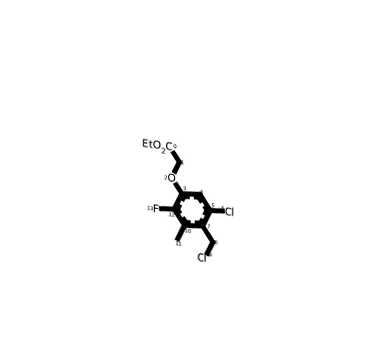 CCOC(=O)COc1cc(Cl)c(CCl)c(C)c1F